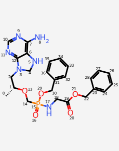 C[C@H](CN1CNc2c(N)ncnc21)OCP(=O)(NCC(=O)OCc1ccccc1)OCc1ccccc1